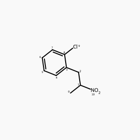 CC([CH]c1ccccc1Cl)[N+](=O)[O-]